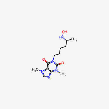 C[C@@H](CCCCn1c(=O)c2c(ncn2C)n(C)c1=O)NO